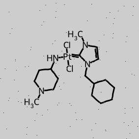 CN1CCC([NH][Pt]([Cl])([Cl])=[c]2n(C)ccn2CC2CCCCC2)CC1